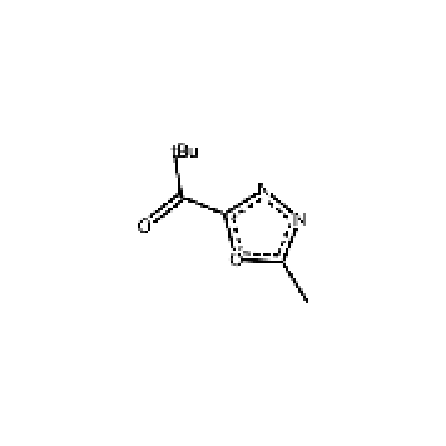 Cc1nnc(C(=O)C(C)(C)C)o1